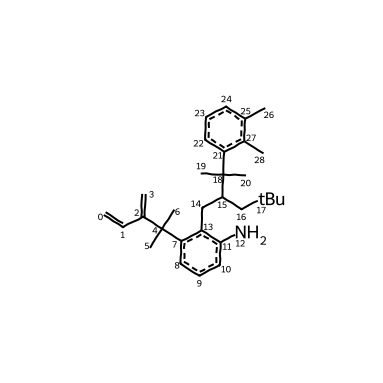 C=CC(=C)C(C)(C)c1cccc(N)c1CC(CC(C)(C)C)C(C)(C)c1cccc(C)c1C